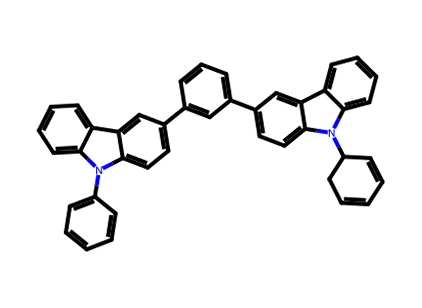 C1=CCC(n2c3ccccc3c3cc(-c4cccc(-c5ccc6c(c5)c5ccccc5n6-c5ccccc5)c4)ccc32)C=C1